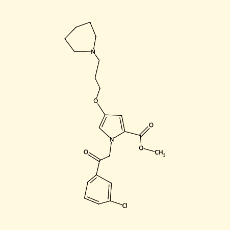 COC(=O)c1cc(OCCCN2CCCCC2)cn1CC(=O)c1cccc(Cl)c1